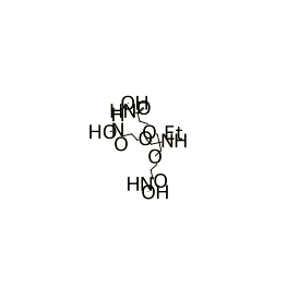 CCNC(COCCC(=O)NO)(COCCC(=O)NO)COCCC(=O)NO